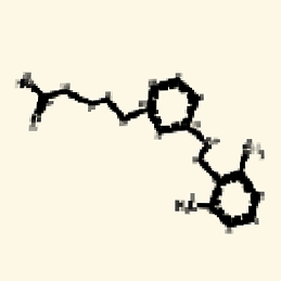 Cc1cccc(C)c1COc1cccc(CCCCC(=O)O)c1